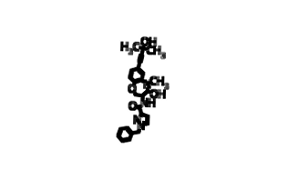 CN1c2cc(C#CC(C)(C)O)ccc2OCC(NC(=O)c2ccn(Cc3ccccc3)n2)C1O